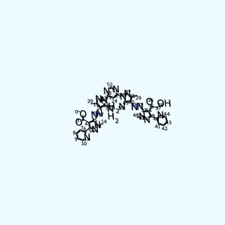 COC(=O)c1c(-c2ccccn2)nn(C)c1/N=N/c1c(C)nn(-c2cc(-n3nc(C)c(/N=N/c4c(C(=O)CO)c(-c5ccccn5)nn4C)c3N)ncn2)c1N